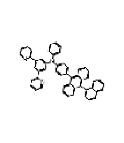 c1ccc(N(c2ccc(-c3c4ccccc4c(-c4cccc5ccccc45)c4ccccc34)cc2)c2cc(-c3ccccn3)cc(-c3ccccn3)c2)cc1